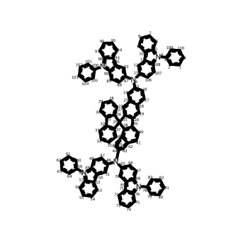 c1ccc(-n2c3ccccc3c3cc(N(c4ccc5cc6c(cc5c4)C4(c5ccccc5-c5ccccc54)c4c-6ccc5cc(N(c6ccc7c(c6)c6ccccc6n7-c6ccccc6)c6ccc7c(c6)c6ccccc6n7-c6ccccc6)ccc45)c4ccc5c(c4)c4ccccc4n5-c4ccccc4)ccc32)cc1